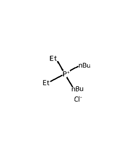 CCCC[P+](CC)(CC)CCCC.[Cl-]